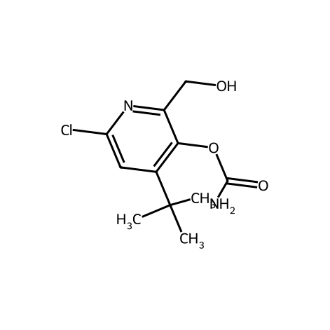 CC(C)(C)c1cc(Cl)nc(CO)c1OC(N)=O